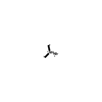 CNC.[Nb]